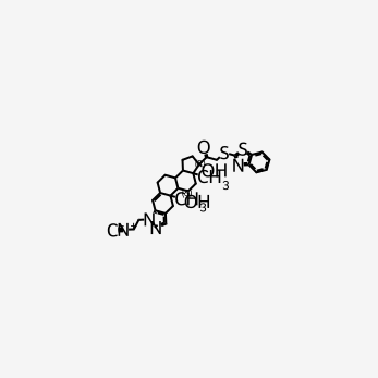 [C-]#[N+]CCn1ncc2c1C=C1CCC3C([C@@H](O)CC4(C)C3CC[C@]4(O)C(=O)CSc3nc4ccccc4s3)C1(C)C2